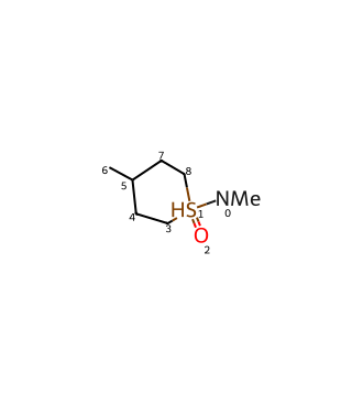 CN[SH]1(=O)CCC(C)CC1